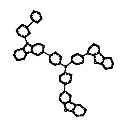 c1ccc(-c2cccc(-n3c4ccccc4c4cc(-c5ccc(N(c6ccc(-c7ccc8oc9ccccc9c8c7)cc6)c6ccc(-c7cccc8c7oc7ccccc78)cc6)cc5)ccc43)c2)cc1